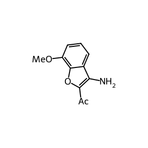 COc1cccc2c(N)c(C(C)=O)oc12